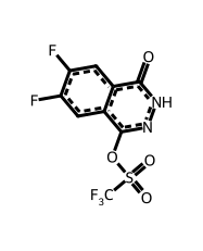 O=c1[nH]nc(OS(=O)(=O)C(F)(F)F)c2cc(F)c(F)cc12